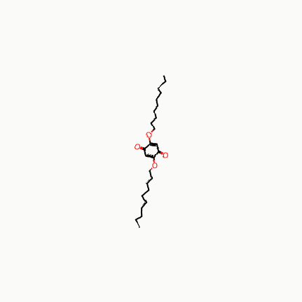 CCCCCCCCCCOC1=CC(=O)C(OCCCCCCCCCC)=CC1=O